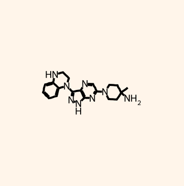 CC1(N)CCN(c2cnc3c(N4CCNc5ccccc54)n[nH]c3n2)CC1